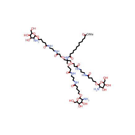 COC(=O)CCCCCCCCCCC(=O)NC(COCCC(=O)NCCCNC(=O)CCCCOC1OC(CO)C(O)C(O)C1N)(COCCC(=O)NCCCNC(=O)CCCCOC1OC(CO)C(O)C(O)C1N)COCCC(=O)NCCCNC(=O)CCCCOC1OC(CO)C(O)C(O)C1N